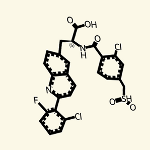 O=C(N[C@@H](Cc1ccc2nc(-c3c(F)cccc3Cl)ccc2c1)C(=O)O)c1ccc(C[SH](=O)=O)cc1Cl